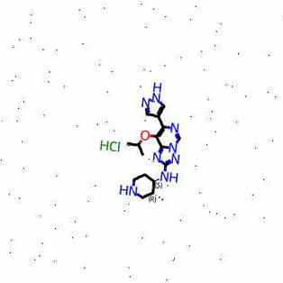 CC(C)Oc1c(-c2cn[nH]c2)ncn2nc(N[C@H]3CCNC[C@H]3C)nc12.Cl